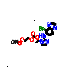 CC(OC(=O)OCCOON=O)N1CCN=C1Nc1ccc2nccnc2c1Br